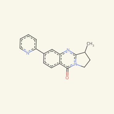 CC1CCn2c1nc1cc(-c3ccccn3)ccc1c2=O